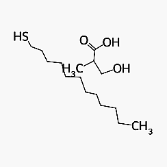 CC(CO)C(=O)O.CCCCCCCCCCCCS